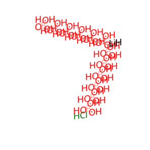 Cl.OB(O)O.OB(O)O.OB(O)O.OB(O)O.OB(O)O.OB(O)O.OB(O)O.OB(O)O.OB(O)O.OB(O)O.OB(O)O.OB(O)O.[LiH]